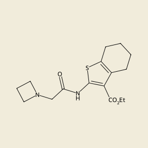 CCOC(=O)c1c(NC(=O)CN2CCC2)sc2c1CCCC2